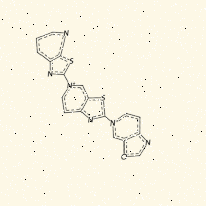 c1cnc2sc(-[n+]3ccc4nc(-[n+]5ccc6ncoc6c5)sc4c3)nc2c1